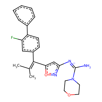 CC(C)=C(c1ccc(-c2ccccc2)c(F)c1)c1cc(/N=C(/N)N2CCOCC2)no1